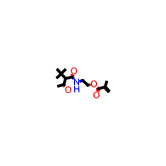 C=C(C)C(=O)OCCNC(=O)C(C(C)=O)C(C)(C)C